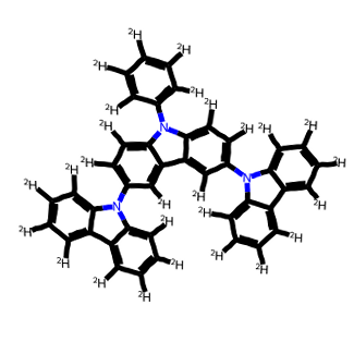 [2H]c1c([2H])c([2H])c(-n2c3c([2H])c([2H])c(-n4c5c([2H])c([2H])c([2H])c([2H])c5c5c([2H])c([2H])c([2H])c([2H])c54)c([2H])c3c3c([2H])c(-n4c5c([2H])c([2H])c([2H])c([2H])c5c5c([2H])c([2H])c([2H])c([2H])c54)c([2H])c([2H])c32)c([2H])c1[2H]